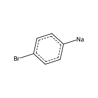 [Na][c]1ccc(Br)cc1